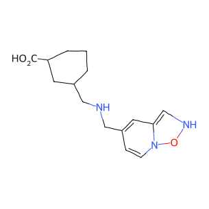 O=C(O)C1CCCC(CNCC2=CC3=CNON3C=C2)C1